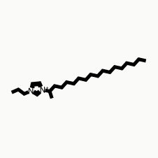 CCCCCCCCCCCCCCCCC(C)[n+]1ccn(CCC)c1